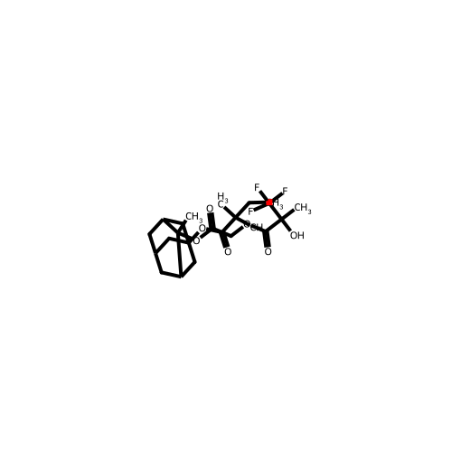 CCC(C)(C)C(=O)OC12CC3CC(C1)C(C)(OC(=O)COC(=O)C(C)(O)C(F)(F)F)C(C3)C2